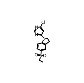 CCS(=O)(=O)c1ccc2c(c1)CCN2c1cc(Cl)ncn1